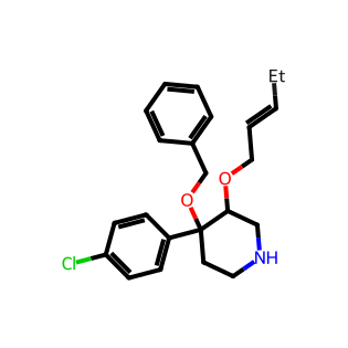 CCC=CCOC1CNCCC1(OCc1ccccc1)c1ccc(Cl)cc1